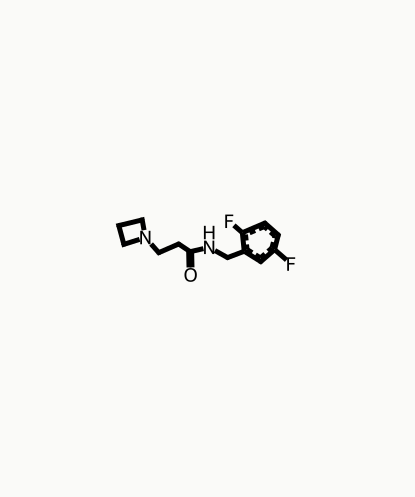 O=C(CCN1CCC1)NCc1cc(F)ccc1F